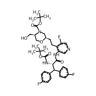 CC(C)(C)OC(=O)N[C@H](C(=O)Nc1cncc(F)c1CC[C@@H]1CN(C(=O)OC(C)(C)C)[C@H](CO)CO1)C(c1ccc(F)cc1)c1ccc(F)cc1